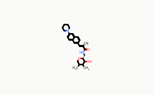 CC1CO[C@H](CNC(=O)/C(C#N)=C/c2ccc3cc(N4CCCCC4)ccc3c2)C(O)C1C